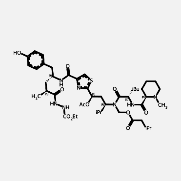 CCOC(=O)NNC(=O)[C@@H](C)C[C@H](Cc1ccc(O)cc1)NC(=O)c1csc([C@@H](C[C@H](C(C)C)N(COC(=O)CC(C)C)C(=O)[C@@H](NC(=O)[C@H]2CCCCN2C)C(C)CC)OC(C)=O)n1